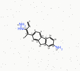 C=C/C(NN)=C(/C)c1ccc2c(c1)Cc1cc(N)ccc1-2